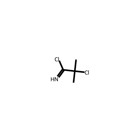 CC(C)(Cl)C(=N)Cl